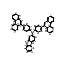 c1ccc2c(c1)cc(-c1ccc(N(c3ccc(-c4cc5ccccc5c5ccccc45)cc3)c3ccc4c(c3)oc3cccnc34)cc1)c1ccccc12